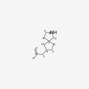 C=C(C)CC1CCC2(CCNC2)C1